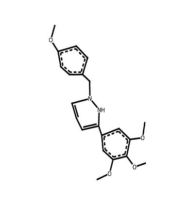 COc1ccc(CN2C=CC=C(c3cc(OC)c(OC)c(OC)c3)N2)cc1